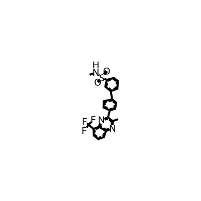 CNS(=O)(=O)c1cccc(-c2ccc(-c3nc4c(C(F)(F)F)cccc4nc3C)cc2)c1